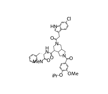 CNC(=O)[C@H](Cc1ccccc1)NC(=O)C1CN(C(=O)Cc2c[nH]c3cc(Cl)ccc23)CC2CN(C(=O)c3ccc(OC(C)C)c(OC)c3)CC21